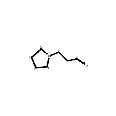 ICCCN1CCCC1